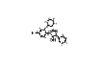 OC1C(c2ccccc2)=NN(c2ccccc2)C1c1ccc(Br)cc1